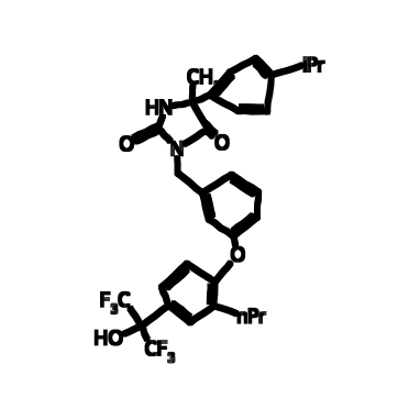 CCCc1cc(C(O)(C(F)(F)F)C(F)(F)F)ccc1Oc1cccc(CN2C(=O)NC(C)(c3ccc(C(C)C)cc3)C2=O)c1